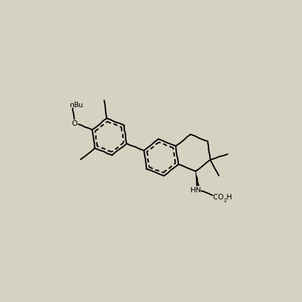 CCCCOc1c(C)cc(-c2ccc3c(c2)CCC(C)(C)[C@H]3NC(=O)O)cc1C